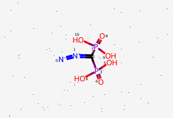 [N-]=[N+]=C(P(=O)(O)O)P(=O)(O)O